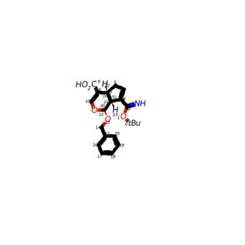 CC(C)(C)OC(=N)C1=CC[C@@H]2C(C(=O)O)=CO[C@@H](OCc3ccccc3)[C@H]12